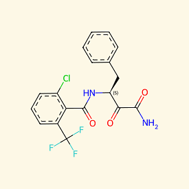 NC(=O)C(=O)[C@H](Cc1ccccc1)NC(=O)c1c(Cl)cccc1C(F)(F)F